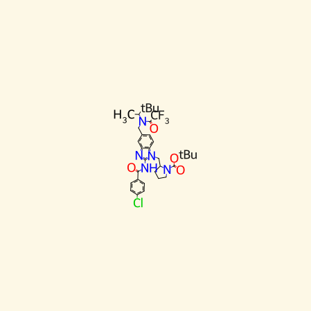 CC(N(Cc1ccc2c(c1)nc(NC(=O)c1ccc(Cl)cc1)n2CC1CCCN1C(=O)OC(C)(C)C)C(=O)C(F)(F)F)C(C)(C)C